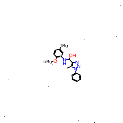 CCCCOc1ccc(C(C)(C)C)cc1NC(O)c1nnn(-c2ccccc2)c1C